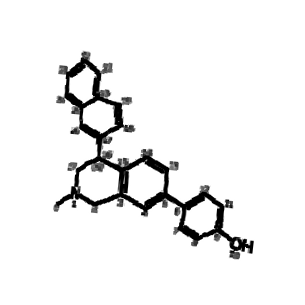 CN1Cc2cc(-c3ccc(O)cc3)ccc2[C@H](c2ccc3ccccc3c2)C1